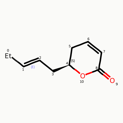 CC/C=C/C[C@H]1CC=CC(=O)O1